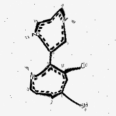 Sc1ccnc(-c2cnccn2)c1Cl